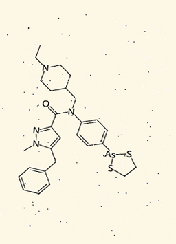 CCN1CCC(CN(C(=O)c2cc(Cc3ccccc3)n(C)n2)c2ccc([As]3SCCS3)cc2)CC1